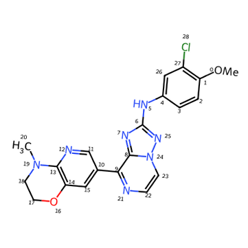 COc1ccc(Nc2nc3c(-c4cnc5c(c4)OCCN5C)nccn3n2)cc1Cl